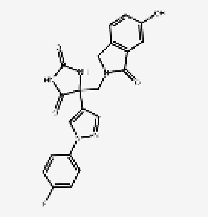 O=C1NC(=O)C(CN2Cc3ccc(O)cc3C2=O)(c2cnn(-c3ccc(F)cc3)c2)N1